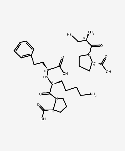 C[C@H](CS)C(=O)N1CCC[C@H]1C(=O)O.NCCCC[C@H](N[C@@H](CCc1ccccc1)C(=O)O)C(=O)N1CCC[C@H]1C(=O)O